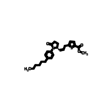 CCCCCCc1ccc(N2C(=O)CC[C@@H]2/C=C\Cc2ccc(C(=O)OC)s2)cc1